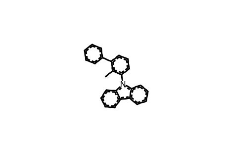 Cc1c(-c2ccccc2)cccc1-n1c2ccccc2c2ccccc21